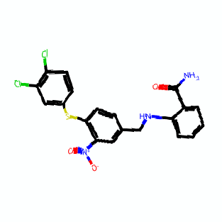 NC(=O)c1ccccc1NCc1ccc(Sc2ccc(Cl)c(Cl)c2)c([N+](=O)[O-])c1